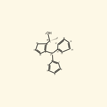 C[C@@H](O)C1=C(P(c2ccccc2)c2ccccc2)C=CC1